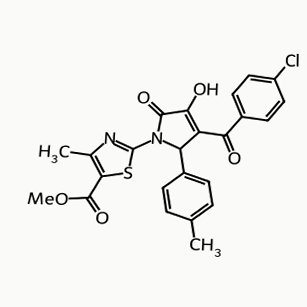 COC(=O)c1sc(N2C(=O)C(O)=C(C(=O)c3ccc(Cl)cc3)C2c2ccc(C)cc2)nc1C